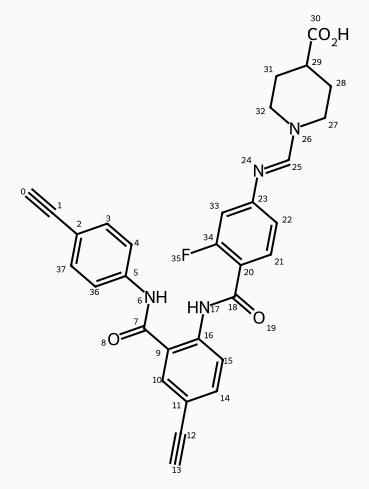 C#Cc1ccc(NC(=O)c2cc(C#C)ccc2NC(=O)c2ccc(N=CN3CCC(C(=O)O)CC3)cc2F)cc1